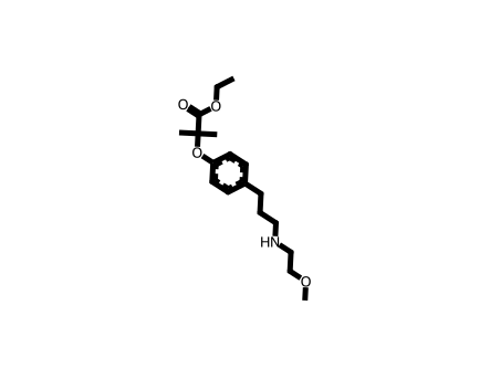 CCOC(=O)C(C)(C)Oc1ccc(CCCNCCOC)cc1